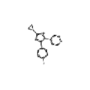 Fc1ccc(-c2nc(C3CC3)[nH]c2-c2ccncc2)cc1